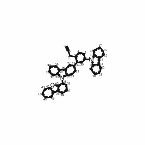 C#CCc1ccc(-n2c3ccccc3c3ccccc32)cc1-c1ccc2c(c1)c1ccccc1n2-c1cccc2c1oc1ccccc12